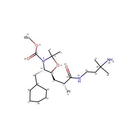 CC(C)[C@H](C[C@@H]1OC(C)(C)N(C(=O)OC(C)(C)C)[C@H]1CC1CCCCC1)C(=O)NCCC(C)(C)N